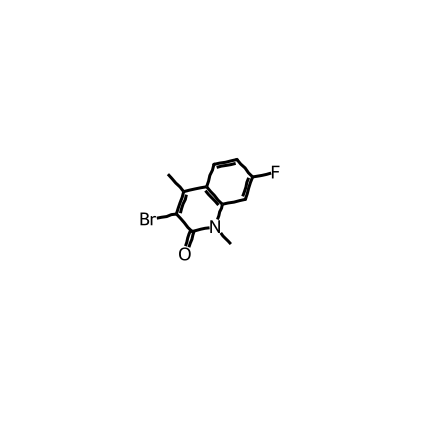 Cc1c(Br)c(=O)n(C)c2cc(F)ccc12